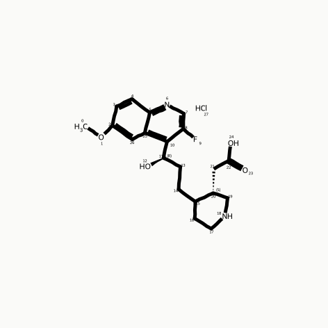 COc1ccc2ncc(F)c([C@H](O)CCC3CCNC[C@H]3CC(=O)O)c2c1.Cl